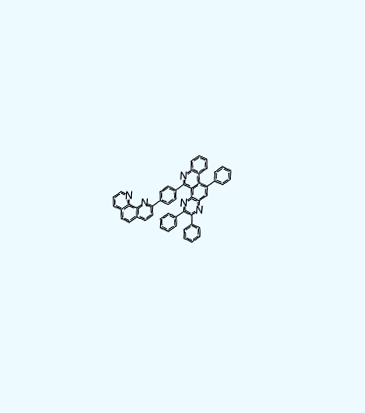 c1ccc(-c2nc3cc(-c4ccccc4)c4c5ccccc5nc(-c5ccc(-c6ccc7ccc8cccnc8c7n6)cc5)c4c3nc2-c2ccccc2)cc1